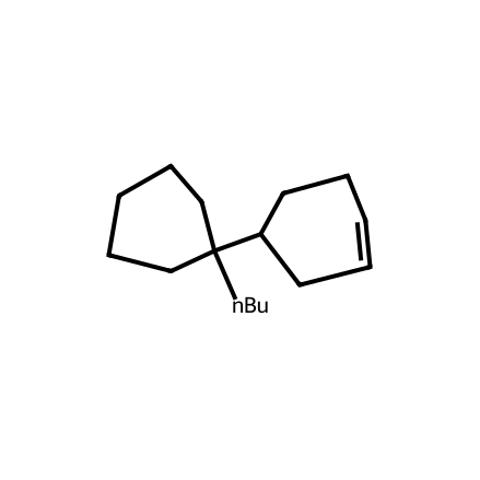 CCCCC1(C2CC=CCC2)CCCCC1